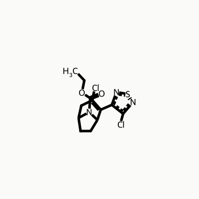 CCOC(=O)N1C2CCC1C(c1nsnc1Cl)=C(Cl)C2